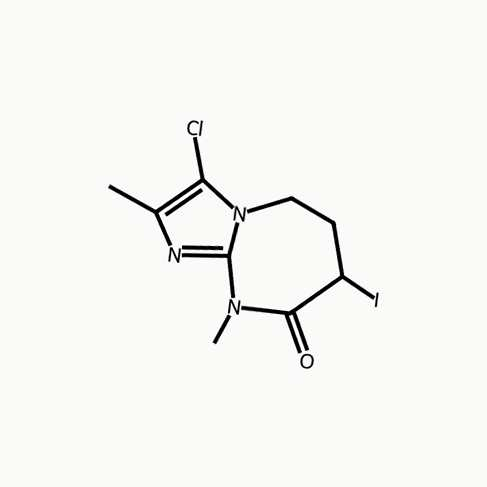 Cc1nc2n(c1Cl)CCC(I)C(=O)N2C